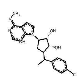 CC(c1ccc(Cl)cc1)[C@H]1C[C@@H](n2ccc3/c(=N\N)nc[nH]c32)[C@H](O)[C@@H]1O